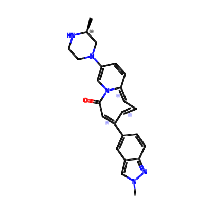 C[C@H]1CN(C2=CN3C(=O)\C=C(c4ccc5nn(C)cc5c4)/C=C/C=C/3C=C2)CCN1